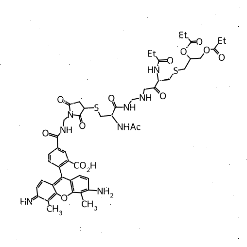 CCC(=O)N[C@@H](CSCC(COC(=O)CC)OC(=O)CC)C(=O)CNCNC(=O)C(CSC1CC(=O)N(CNC(=O)c2ccc(-c3c4ccc(=N)c(C)c-4oc4c(C)c(N)ccc34)c(C(=O)O)c2)C1=O)NC(C)=O